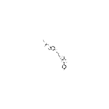 CCOC(=O)Cn1ccc2cc(OCCCNCc3nc(-c4ccc(F)cc4)ncc3C)ccc21